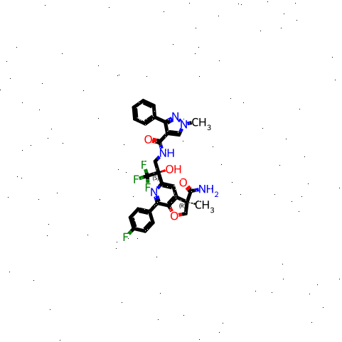 Cn1cc(C(=O)NC[C@](O)(c2cc3c(c(-c4ccc(F)cc4)n2)OC[C@]3(C)C(N)=O)C(F)(F)F)c(-c2ccccc2)n1